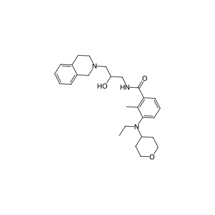 CCN(c1cccc(C(=O)NCC(O)CN2CCc3ccccc3C2)c1C)C1CCOCC1